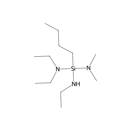 CCCC[Si](NCC)(N(C)C)N(CC)CC